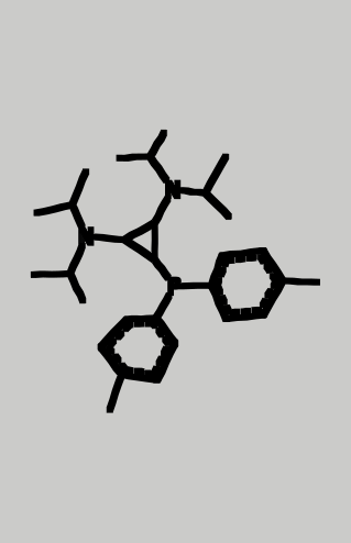 Cc1ccc(P(c2ccc(C)cc2)C2C(N(C(C)C)C(C)C)C2N(C(C)C)C(C)C)cc1